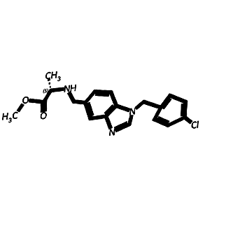 COC(=O)[C@H](C)NCc1ccc2c(c1)ncn2Cc1ccc(Cl)cc1